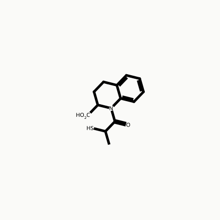 CC(S)C(=O)N1c2ccccc2CCC1C(=O)O